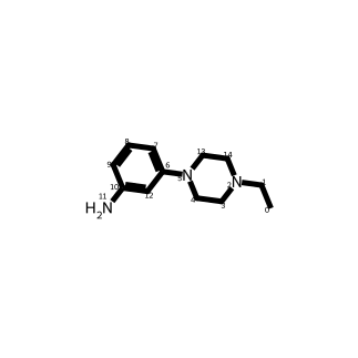 CCN1CCN(c2cc[c]c(N)c2)CC1